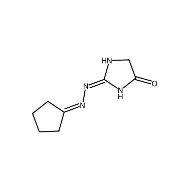 O=C1CN/C(=N/N=C2CCCC2)N1